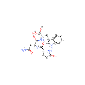 NC(=O)CC(NC(=O)[C@@H]1CCC(=O)N1)C(=O)NC(Cc1c[nH]c2ccccc12)C(=O)O